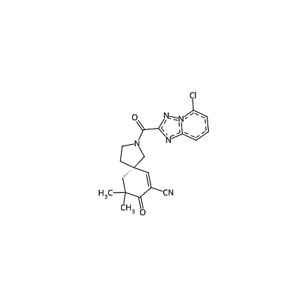 CC1(C)C[C@]2(C=C(C#N)C1=O)CCN(C(=O)c1nc3cccc(Cl)n3n1)C2